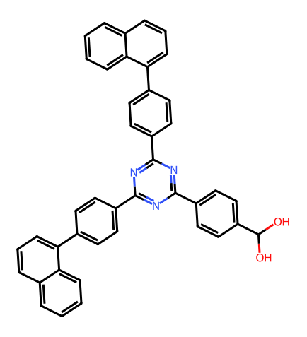 OC(O)c1ccc(-c2nc(-c3ccc(-c4cccc5ccccc45)cc3)nc(-c3ccc(-c4cccc5ccccc45)cc3)n2)cc1